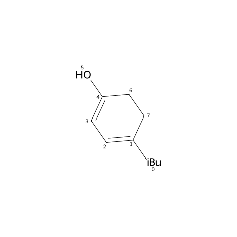 CCC(C)C1=CC=C(O)CC1